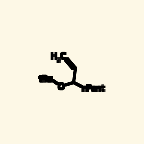 C=CC(CCCCC)OC(C)(C)C